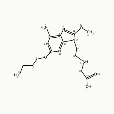 CCCCOc1nc(N)c2nc(OC)n(CCNCC(=O)O)c2n1